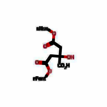 CCCCCCCCCOC(=O)CC(O)(CC(=O)OCCCCC)C(=O)O